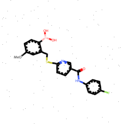 COc1ccc(B(O)O)c(CSc2ccc(C(=O)Nc3ccc(F)cc3)cn2)c1